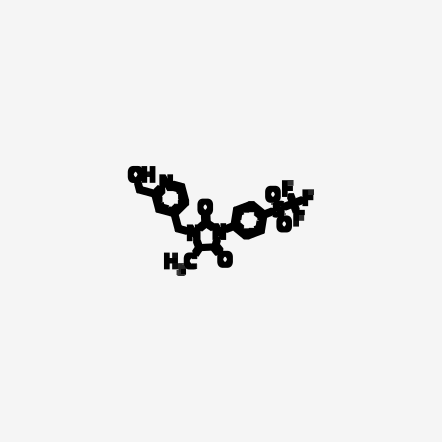 CC1C(=O)N(c2ccc(S(=O)(=O)C(F)(F)F)cc2)C(=O)N1Cc1ccnc(CO)c1